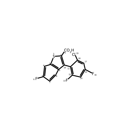 O=C(O)c1sc2cc(F)ccc2c1-c1c(F)cc(F)cc1Cl